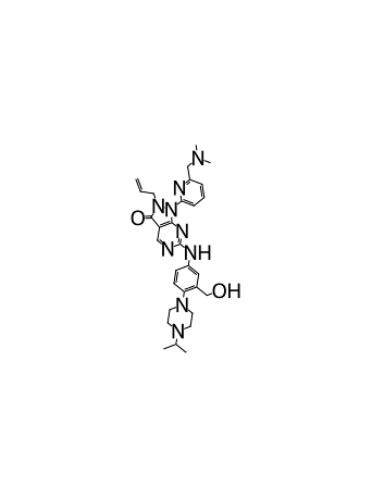 C=CCn1c(=O)c2cnc(Nc3ccc(N4CCN(C(C)C)CC4)c(CO)c3)nc2n1-c1cccc(CN(C)C)n1